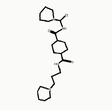 CCC(NC(=O)C1CCC(C(=O)NCCCN2CCCCC2)CC1)N1CCCCC1